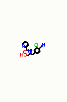 N#Cc1ccc(CC(CO)NC(=O)c2ccccn2)cc1Cl